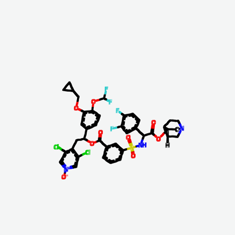 O=C(OC(Cc1c(Cl)c[n+]([O-])cc1Cl)c1ccc(OC(F)F)c(OCC2CC2)c1)c1cccc(S(=O)(=O)NC(C(=O)O[C@H]2CN3CCC2CC3)c2ccc(F)c(F)c2)c1